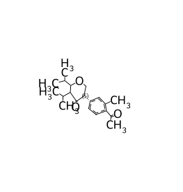 CC(=O)c1ccc([C@H]2COC(C(C)C)C(C(C)C)C2=O)cc1C